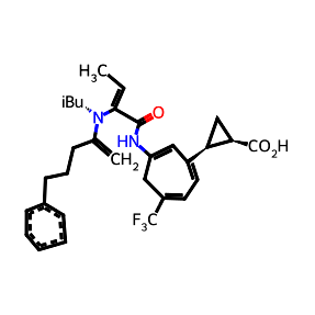 C=C(CCCc1ccccc1)N(/C(=C\C)C(=O)NC1=CC([C@H]2C[C@H]2C(=O)O)=CC=C(C(F)(F)F)C1)[C@@H](C)CC